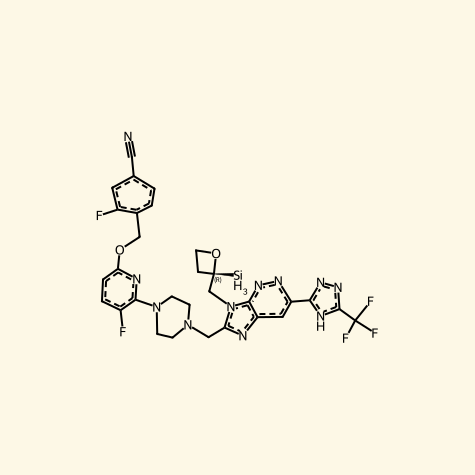 N#Cc1ccc(COc2ccc(F)c(N3CCN(Cc4nc5cc(-c6nnc(C(F)(F)F)[nH]6)nnc5n4C[C@]4([SiH3])CCO4)CC3)n2)c(F)c1